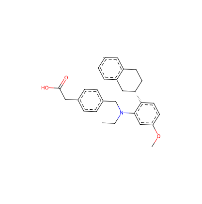 CCN(Cc1ccc(CC(=O)O)cc1)c1cc(OC)ccc1[C@H]1CCc2c[c]ccc2C1